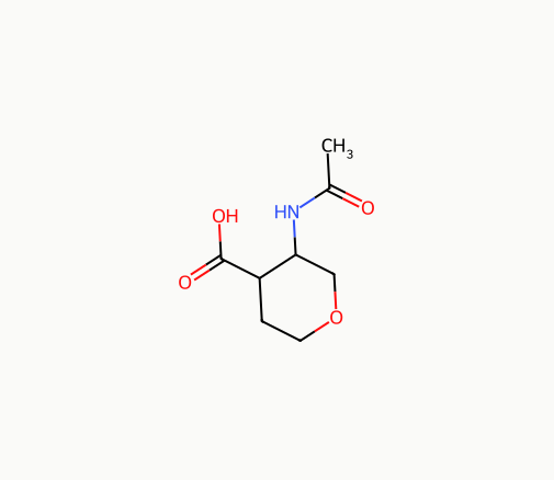 CC(=O)NC1COCCC1C(=O)O